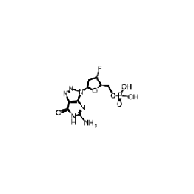 Nc1nc2c(nnn2[C@H]2C[C@@H](F)[C@@H](COP(=O)(O)O)O2)c(=O)[nH]1